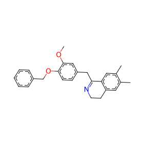 COc1cc(CC2=NCCc3cc(C)c(C)cc32)ccc1OCc1ccccc1